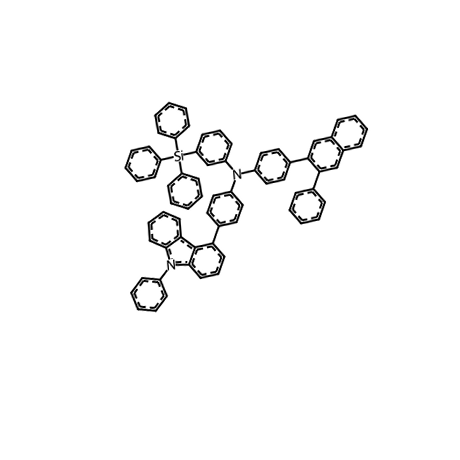 c1ccc(-c2cc3ccccc3cc2-c2ccc(N(c3ccc(-c4cccc5c4c4ccccc4n5-c4ccccc4)cc3)c3cccc([Si](c4ccccc4)(c4ccccc4)c4ccccc4)c3)cc2)cc1